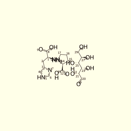 N[C@@H](Cc1c[nH]cn1)C(=O)O.O=C(O)[C@@H]1CCCN1.O=C[C@H](O)[C@@H](O)[C@H](O)[C@H](O)CO